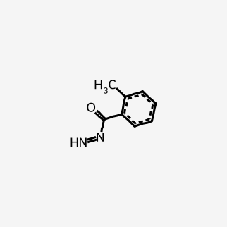 Cc1ccccc1C(=O)N=N